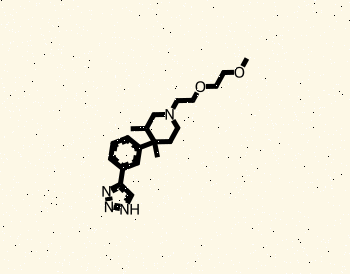 COCCOCCN1CCC(C)(c2cccc(-c3c[nH]nn3)c2)C(C)C1